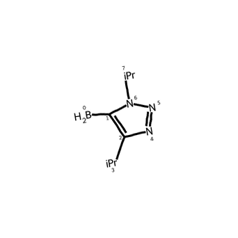 Bc1c(C(C)C)nnn1C(C)C